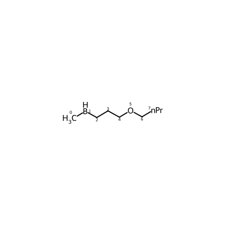 CBCCCOCCCC